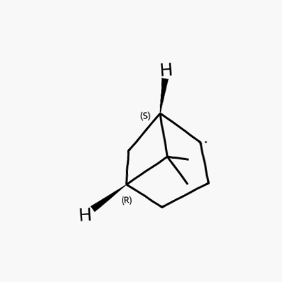 CC1(C)[C@@H]2CC[CH][C@H]1C2